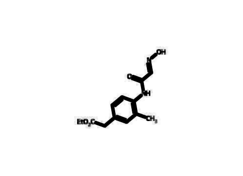 CCOC(=O)Cc1ccc(NC(=O)/C=N/O)c(C)c1